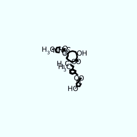 C/C(=C\c1cccc(COC(=O)N2CC[C@@H](O)C2)c1)[C@H]1OC(=O)C[C@H](O)CC[C@H](C)[C@H](OC(=O)N2CCN(C)CC2)/C=C/[C@@H]1C